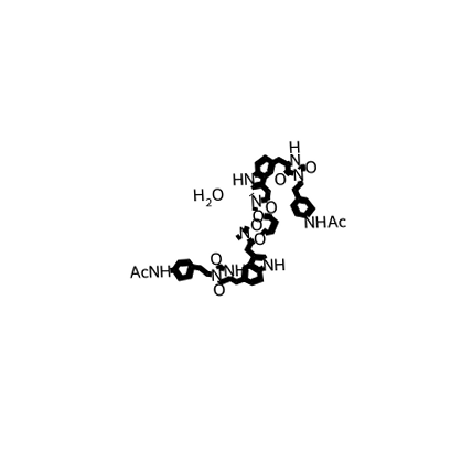 CC(=O)Nc1ccc(CCN2C(=O)NC(Cc3ccc4[nH]cc(CC(OC(=O)/C=C\C(=O)OC(Cc5c[nH]c6ccc(CC7NC(=O)N(CCc8ccc(NC(C)=O)cc8)C7=O)cc56)N(C)C)N(C)C)c4c3)C2=O)cc1.O